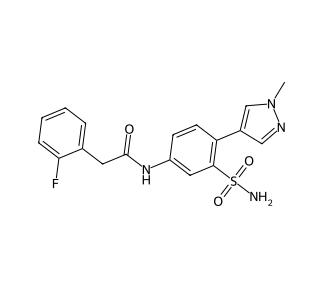 Cn1cc(-c2ccc(NC(=O)Cc3ccccc3F)cc2S(N)(=O)=O)cn1